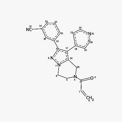 C=CC(=O)N1CCn2nc(-c3cccc(C#N)c3)c(-c3ccncc3)c2C1